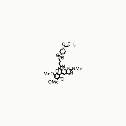 C=CC(=O)N1CCC(S(=O)(=O)CCCc2nc3c(-c4c(Cl)c(OC)cc(OC)c4Cl)cc4cnc(NC)nc4n3n2)CC1